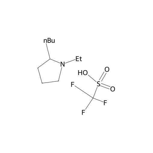 CCCCC1CCCN1CC.O=S(=O)(O)C(F)(F)F